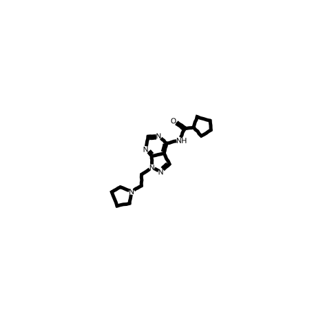 O=C(Nc1ncnc2c1cnn2CCN1CCCC1)C1CCCC1